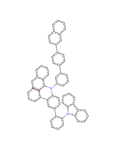 c1ccc(-c2cc(-c3ccccc3-n3c4ccccc4c4ccccc43)ccc2N(c2cccc(-c3ccc(-c4ccc5ccccc5c4)cc3)c2)c2cccc3ccccc23)cc1